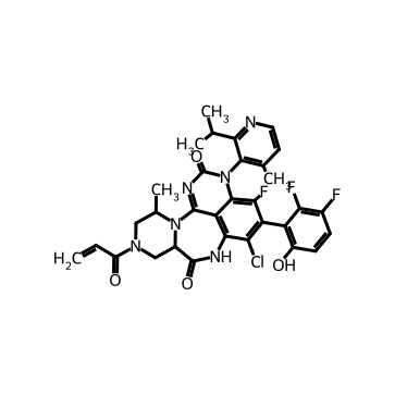 C=CC(=O)N1CC(C)N2c3nc(=O)n(-c4c(C)ccnc4C(C)C)c4c(F)c(-c5c(O)ccc(F)c5F)c(Cl)c(c34)NC(=O)C2C1